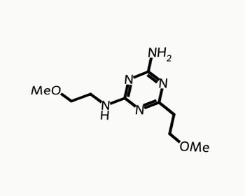 COCCNc1nc(N)nc(CCOC)n1